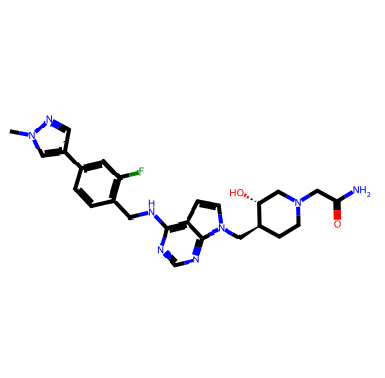 Cn1cc(-c2ccc(CNc3ncnc4c3ccn4C[C@@H]3CCN(CC(N)=O)C[C@H]3O)c(F)c2)cn1